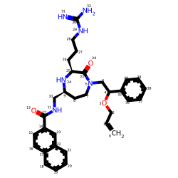 C=CCOC(CN1CC[C@@H](CNC(=O)c2ccc3ccccc3c2)N[C@@H](CCCNC(=N)N)C1=O)c1ccccc1